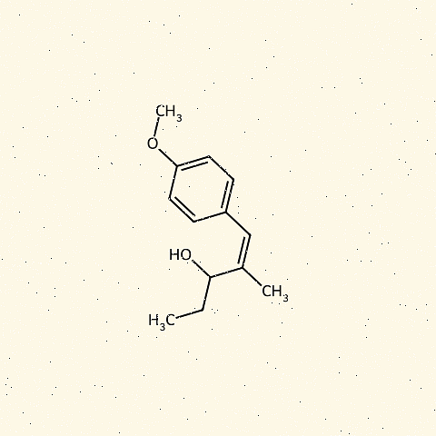 CCC(O)C(C)=Cc1ccc(OC)cc1